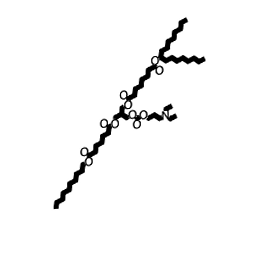 CCCCCCCCCCOC(=O)CCCCCC(=O)OCC(COC(=O)CCCCCCC(=O)OC(CCCCCCCC)CCCCCCCC)COC(=O)OCCCN(CC)CC